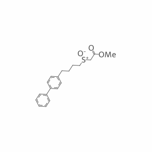 COC(=O)C[S+]([O-])CCCCc1ccc(-c2ccccc2)cc1